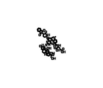 CN(Cc1cnc2nc(N)nc(N)c2n1)c1ccc(C(=O)N[C@@H](CCC(=O)O)C(=O)O)cc1.C[C@]12C=CC(=O)C=C1CC[C@@H]1[C@@H]2[C@@H](O)C[C@@]2(C)[C@H]1CC[C@]2(O)C(=O)CO.O=C1CCC(N2C(=O)c3ccccc3C2=O)C(=O)N1